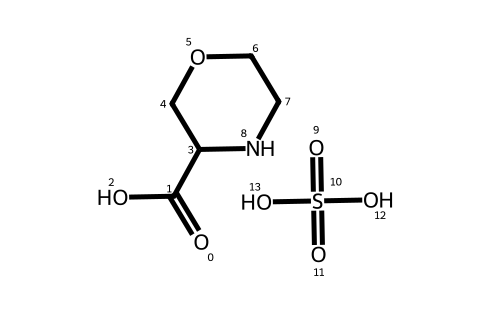 O=C(O)C1COCCN1.O=S(=O)(O)O